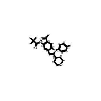 Cc1nn(C(=O)C(C)(C)C)c2cc3cc(C4CCOCC4)n(-c4ccc(F)cc4)c3cc12